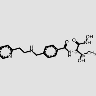 C[C@@H](O)[C@H](NC(=O)c1ccc(CNCCc2ccccn2)cc1)C(=O)NO